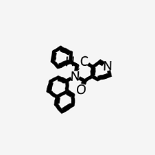 Cc1cnccc1C(=O)N(Cc1ccccc1)c1cccc2ccccc12